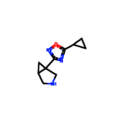 C1CC1c1nc(C23CNCC2C3)no1